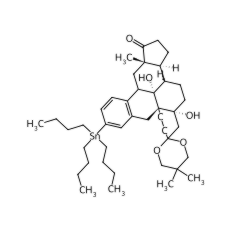 CCC[CH2][Sn]([CH2]CCC)([CH2]CCC)[c]1ccc2c(c1)C[C@]13CCC4(C[C@]1(O)CC[C@H]1[C@@H]5CCC(=O)[C@@]5(C)CC2[C@@]13O)OCC(C)(C)CO4